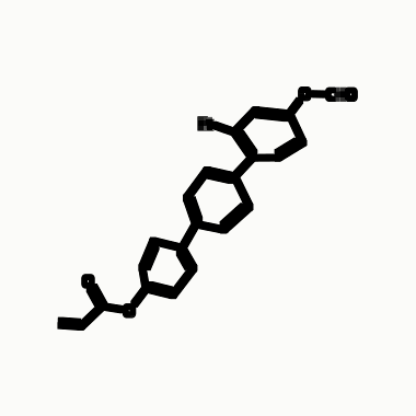 C=CC(=O)Oc1ccc(-c2ccc(-c3ccc(OC=O)cc3CC)cc2)cc1